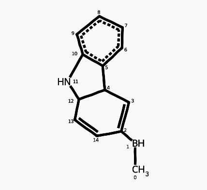 CBC1=CC2c3ccccc3NC2C=C1